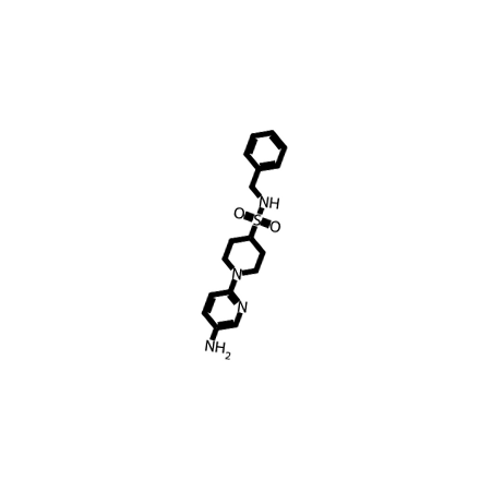 Nc1ccc(N2CCC(S(=O)(=O)NCc3ccccc3)CC2)nc1